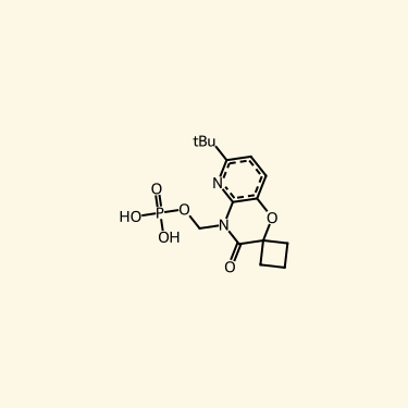 CC(C)(C)c1ccc2c(n1)N(COP(=O)(O)O)C(=O)C1(CCC1)O2